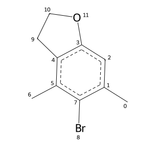 Cc1cc2c(c(C)c1Br)CCO2